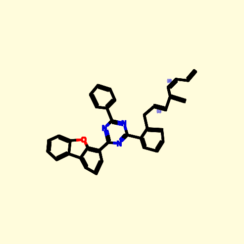 C=C/C=C\C(=C)/C=C/Cc1ccccc1-c1nc(-c2ccccc2)nc(-c2cccc3c2oc2ccccc23)n1